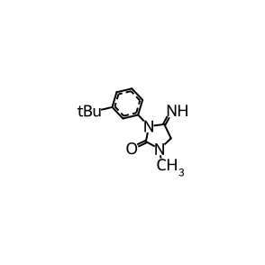 CN1CC(=N)N(c2cccc(C(C)(C)C)c2)C1=O